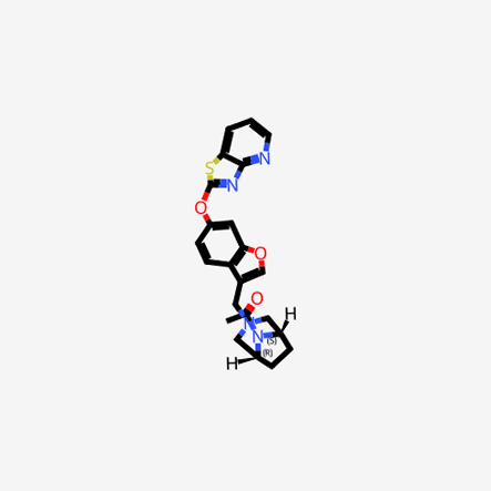 CC(=O)N1[C@@H]2CC[C@H]1CN(Cc1coc3cc(Oc4nc5ncccc5s4)ccc13)C2